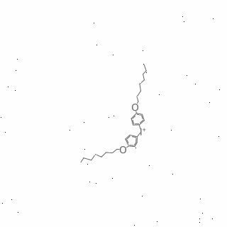 CCCCCCCCOc1ccc([I+]c2ccc(OCCCCCCCC)cc2)cc1